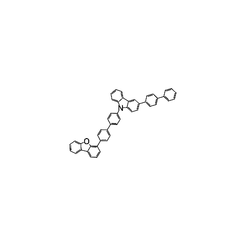 c1ccc(-c2ccc(-c3ccc4c(c3)c3ccccc3n4-c3ccc(-c4ccc(-c5cccc6c5oc5ccccc56)cc4)cc3)cc2)cc1